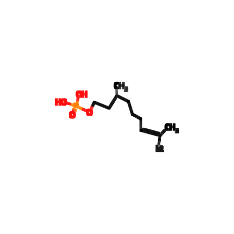 CCC(C)=CCCCC(C)CCOP(=O)(O)O